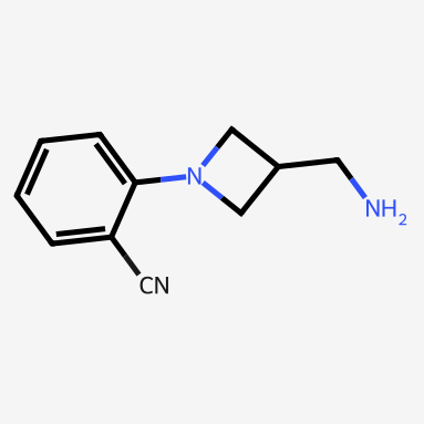 N#Cc1ccccc1N1CC(CN)C1